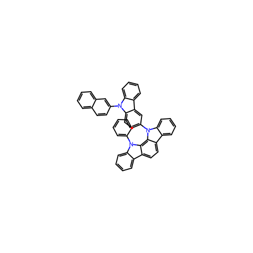 c1ccc(-n2c3ccccc3c3ccc4c5ccccc5n(-c5ccc6c(c5)c5ccccc5n6-c5ccc6ccccc6c5)c4c32)cc1